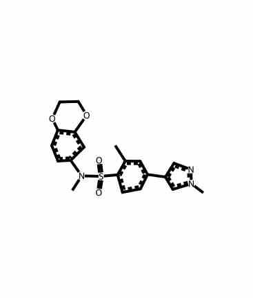 Cc1cc(-c2cnn(C)c2)ccc1S(=O)(=O)N(C)c1ccc2c(c1)OCCO2